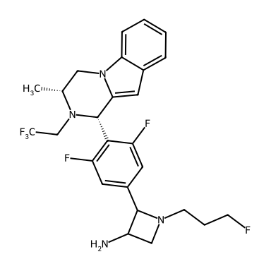 C[C@@H]1Cn2c(cc3ccccc32)[C@H](c2c(F)cc(C3C(N)CN3CCCF)cc2F)N1CC(F)(F)F